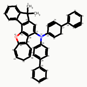 CC1(C)c2ccccc2-c2c1cc(N(C1=CCC(c3c#cccc3)C#C1)c1ccc(-c3ccccc3)cc1)c1c3c(oc21)C=CCC=C3